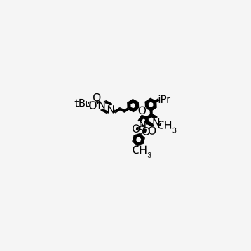 Cc1ccc(S(=O)(=O)n2ccc3c(-c4cc(C(C)C)ccc4Oc4cccc(CCCN5CCN(C(=O)OC(C)(C)C)CC5)c4)cn(C)c(=O)c32)cc1